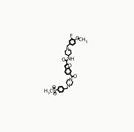 COc1ccc(CN2CCC(NC(=O)c3cc4ccc(C(=O)N5CCN(Cc6ccc(S(C)(=O)=O)cc6)CC5)cc4o3)CC2)cc1F